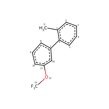 [CH2]c1ccccc1-c1cccc(OC(F)(F)F)c1